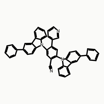 N#Cc1cc(-n2c3ccccc3c3cc(-c4ccccc4)ccc32)c(-c2cccnc2)cc1-n1c2ccccc2c2cc(-c3ccccc3)ccc21